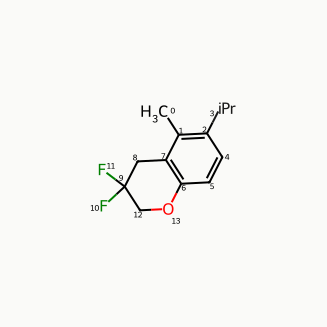 Cc1c(C(C)C)ccc2c1CC(F)(F)CO2